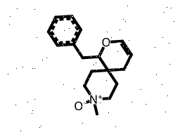 C[N+]1([O-])CCC2(CC=COC2Cc2ccccc2)CC1